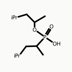 CC(C)CC(C)OP(=O)(O)C(C)CC(C)C